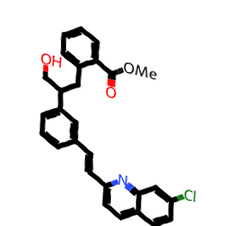 COC(=O)c1ccccc1CC(CO)c1cccc(C=Cc2ccc3ccc(Cl)cc3n2)c1